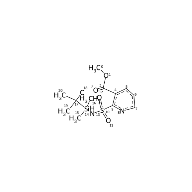 COC(=O)c1cccnc1S(=O)(=O)N[Si](C)(C)C(C)(C)C